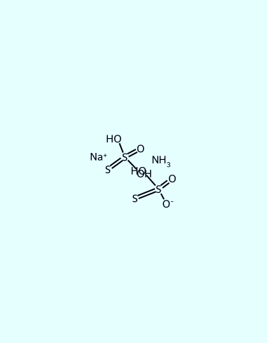 N.O=S(O)(O)=S.O=S([O-])(O)=S.[Na+]